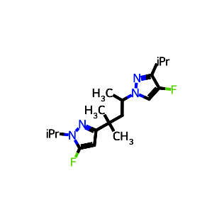 CC(C)c1nn(C(C)CC(C)(C)c2cc(F)n(C(C)C)n2)cc1F